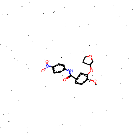 COc1ccc(C(=O)Nc2ccc([N+](=O)[O-])cc2)cc1OC1CCOC1